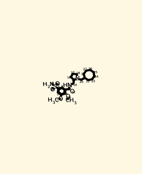 COc1cc(S(N)(=O)=O)cc(C(=O)NCC2CCCN2CC2CCCCCCC2)c1OC